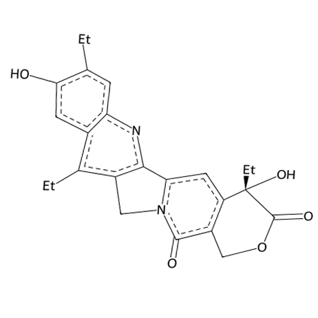 CCc1cc2nc3c(c(CC)c2cc1O)Cn1c-3cc2c(c1=O)COC(=O)[C@]2(O)CC